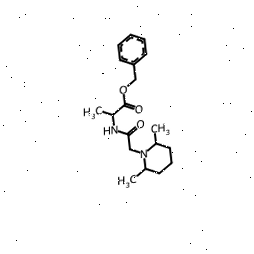 CC(NC(=O)CN1C(C)CCCC1C)C(=O)OCc1ccccc1